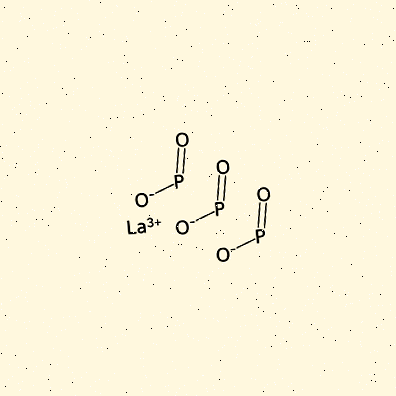 O=P[O-].O=P[O-].O=P[O-].[La+3]